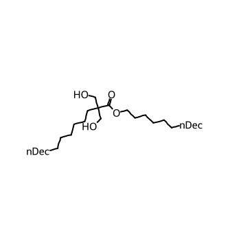 CCCCCCCCCCCCCCCCOC(=O)C(CO)(CO)CCCCCCCCCCCCCCCC